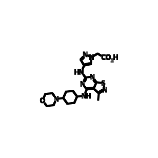 Cc1nsc2nc(Nc3cnn(CC(=O)O)c3)nc(NC3CCC(N4CCOCC4)CC3)c12